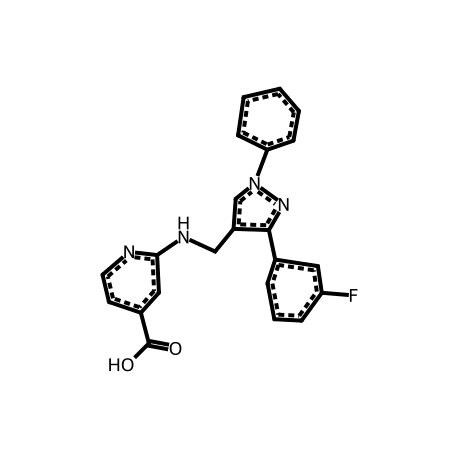 O=C(O)c1ccnc(NCc2cn(-c3ccccc3)nc2-c2cccc(F)c2)c1